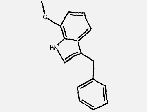 COc1cccc2c(Cc3ccccc3)c[nH]c12